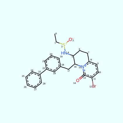 CC[S+]([O-])NC1CCc2ccc(Br)c(=O)n2C1Cc1cccc(-c2ccccc2)c1